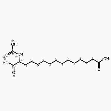 O=C(O)CCCCCCCCCCCCC(NC(=O)O)C(=O)O